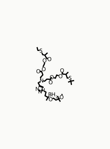 BC(C)(CCn1cc(CN(CCC(=O)OCCOC(=O)C(C)CSCC)CCC(=O)OCCOC(=O)C(C)CSC(C)(C)C)nn1)OCCC(C)(C)OC